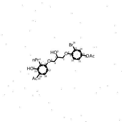 CCCc1c(OCC(O)COc2ccc(OC(C)=O)cc2Br)ccc(C(C)=O)c1O